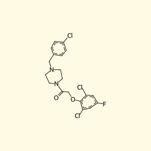 O=C(COc1c(Cl)cc(F)cc1Cl)N1CCN(Cc2ccc(Cl)cc2)CC1